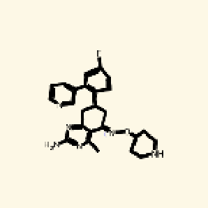 Cc1nc(N)nc2c1/C(=N/OC1CCNCC1)CC(c1ccc(F)cc1-c1cccnc1)C2